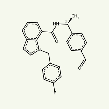 C[C@H](NC(=O)c1cccc2ccn(Cc3ccc(F)cc3)c12)c1ccc(C=O)cc1